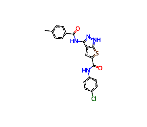 Cc1ccc(C(=O)Nc2n[nH]c3sc(C(=O)Nc4ccc(Cl)cc4)cc23)cc1